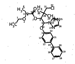 CCON(C)C(=O)OC(C(Oc1ccc(-c2ccccc2)cc1)n1cncn1)C(C)(C)CCl